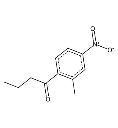 CCCC(=O)c1ccc([N+](=O)[O-])cc1C